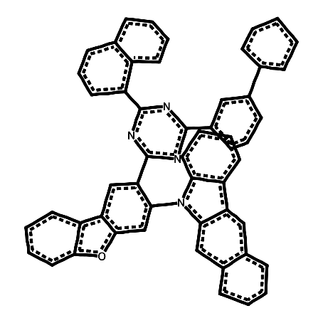 c1ccc(-c2cccc(-c3nc(-c4cc5c(cc4-n4c6ccccc6c6cc7ccccc7cc64)oc4ccccc45)nc(-c4cccc5ccccc45)n3)c2)cc1